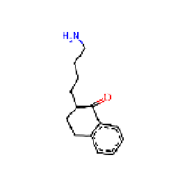 NCCCCC1CCc2ccccc2C1=O